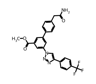 COC(=O)c1cc(-c2ccc(CC(N)=O)cc2)cc(-n2cc(-c3ccc(C(F)(F)F)cc3)nn2)c1